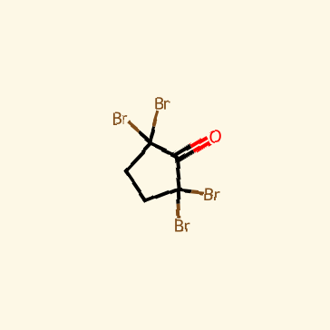 O=C1C(Br)(Br)CCC1(Br)Br